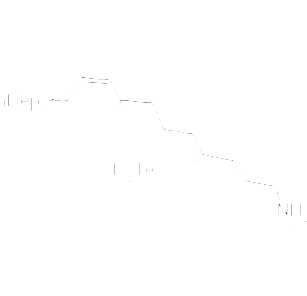 CCCCCCCC/C=C\CCCCCCCCN.[TeH2]